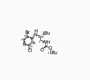 CC(C)(C)OC(=O)NC[C@H](Nc1nc(Cl)ncc1Br)C(C)(C)C